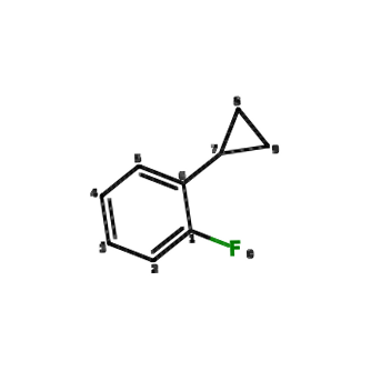 Fc1c[c]ccc1C1CC1